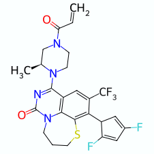 C=CC(=O)N1CCN(c2nc(=O)n3c4c(c(C5C=C(F)C=C5F)c(C(F)(F)F)cc24)SCCC3)[C@@H](C)C1